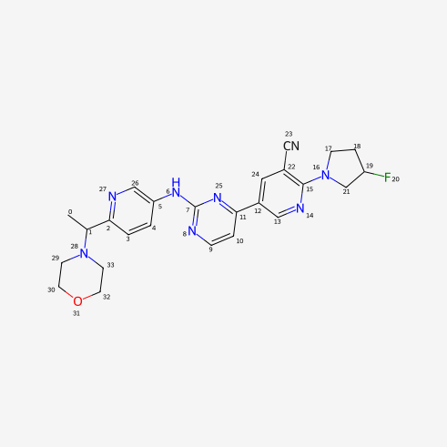 CC(c1ccc(Nc2nccc(-c3cnc(N4CCC(F)C4)c(C#N)c3)n2)cn1)N1CCOCC1